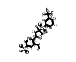 CCc1cc(S(C)(=O)=O)cnc1C1CC(C)(S(=O)(=O)c2cccc(C(F)(F)F)c2)CO1